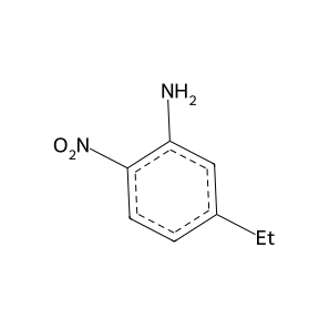 CCc1ccc([N+](=O)[O-])c(N)c1